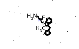 Cc1c(Cc2ccccc2)c2ccccc2n1C/C(F)=C/CN